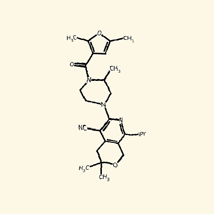 Cc1cc(C(=O)N2CCN(c3nc(C(C)C)c4c(c3C#N)CC(C)(C)OC4)CC2C)c(C)o1